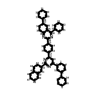 c1ccc(-c2cccc(-c3cc(-c4ccc(-c5nc(-c6ccccc6)c6cc(-c7ccccc7)ccc6n5)cc4)nc(-c4ccc5ccccc5c4)n3)c2)cc1